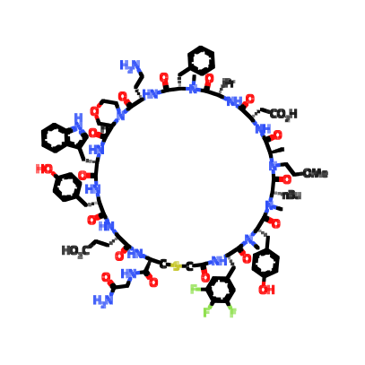 CCCC[C@H]1C(=O)N(CCOC)[C@H](C)C(=O)N[C@@H](CC(=O)O)C(=O)N[C@@H](C(C)C)C(=O)N(C)[C@@H](Cc2ccccc2)C(=O)N[C@@H](CCN)C(=O)N2CCOC[C@@H]2C(=O)N[C@@H](Cc2c[nH]c3ccccc23)C(=O)N[C@@H](Cc2ccc(O)cc2)C(=O)N[C@@H](CCC(=O)O)C(=O)N[C@H](C(=O)NCC(N)=O)CSCC(=O)N[C@@H](Cc2cc(F)c(F)c(F)c2)C(=O)N(C)[C@@H](Cc2ccc(O)cc2)C(=O)N1C